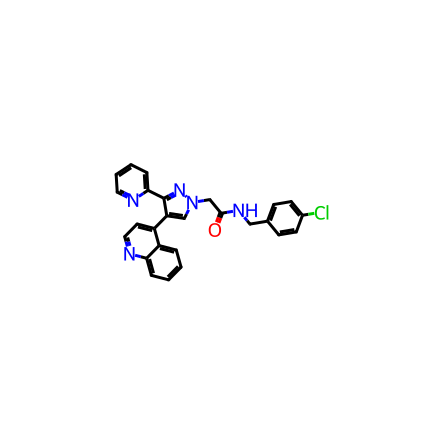 O=C(Cn1cc(-c2ccnc3ccccc23)c(-c2ccccn2)n1)NCc1ccc(Cl)cc1